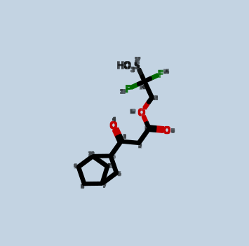 O=C(CC(=O)C1CC2CCC1C2)OCC(F)(F)S(=O)(=O)O